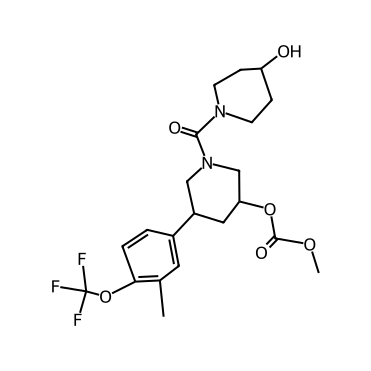 COC(=O)OC1CC(c2ccc(OC(F)(F)F)c(C)c2)CN(C(=O)N2CCC(O)CC2)C1